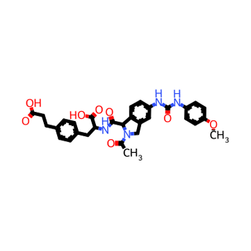 COc1ccc(NC(=O)Nc2ccc3c(c2)CN(C(C)=O)C3C(=O)NC(Cc2ccc(CCC(=O)O)cc2)C(=O)O)cc1